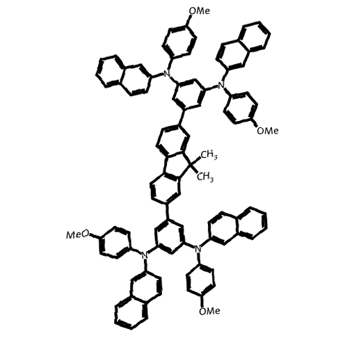 COc1ccc(N(c2cc(-c3ccc4c(c3)C(C)(C)c3cc(-c5cc(N(c6ccc(OC)cc6)c6ccc7ccccc7c6)cc(N(c6ccc(OC)cc6)c6ccc7ccccc7c6)c5)ccc3-4)cc(N(c3ccc(OC)cc3)c3ccc4ccccc4c3)c2)c2ccc3ccccc3c2)cc1